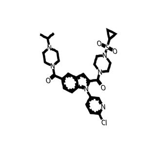 CC(C)N1CCN(C(=O)c2ccc3c(c2)cc(C(=O)N2CCN(S(=O)(=O)C4CC4)CC2)n3-c2ccc(Cl)nc2)CC1